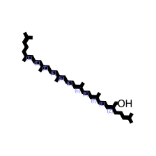 CC(C)=CCC/C(=C/C=C/C(C)=C/C=C/C(C)=C/C=C/C=C(C)/C=C/C=C(C)/C=C/C=C(\C)CCC=C(C)C)CO